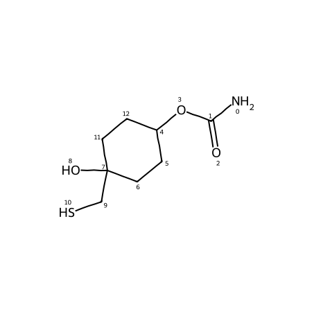 NC(=O)OC1CCC(O)(CS)CC1